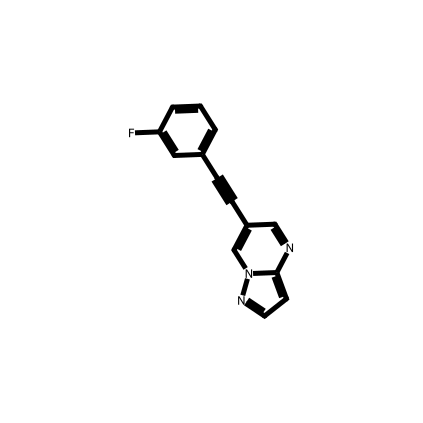 Fc1cccc(C#Cc2cnc3ccnn3c2)c1